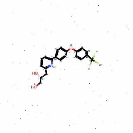 OC[C@H](O)Cc1cccc(-c2ccc(Oc3ccc(C(F)(F)F)cc3)cc2)n1